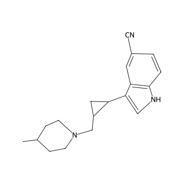 CC1CCN(CC2CC2c2c[nH]c3ccc(C#N)cc23)CC1